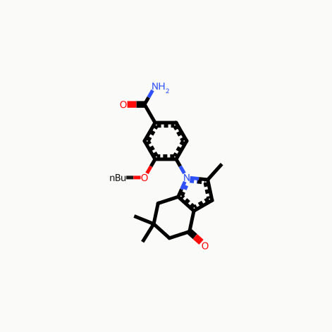 CCCCOc1cc(C(N)=O)ccc1-n1c(C)cc2c1CC(C)(C)CC2=O